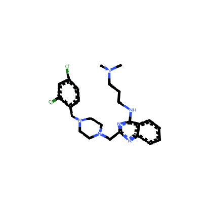 CN(C)CCCNc1nc(CN2CCN(Cc3ccc(Cl)cc3Cl)CC2)nc2ccccc12